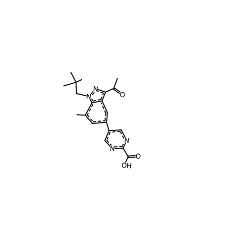 CC(=O)c1nn(CC(C)(C)C)c2c(C)cc(-c3cnc(C(=O)O)nc3)cc12